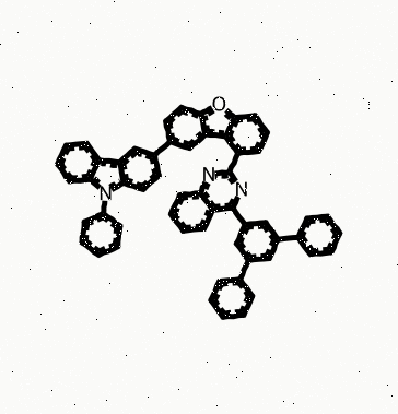 c1ccc(-c2cc(-c3ccccc3)cc(-c3nc(-c4cccc5oc6ccc(-c7ccc8c(c7)c7ccccc7n8-c7ccccc7)cc6c45)nc4ccccc34)c2)cc1